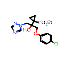 CCOC(=O)C1(C(O)(COc2ccc(Cl)cc2)Cn2cncn2)CC1